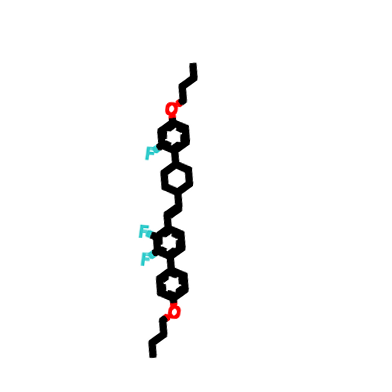 CCCCOc1ccc(-c2ccc(/C=C/C3CCC(c4ccc(OCCCC)cc4F)CC3)c(F)c2F)cc1